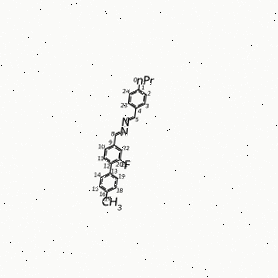 CCCc1ccc(C=NN=Cc2ccc(-c3ccc(C)cc3)c(F)c2)cc1